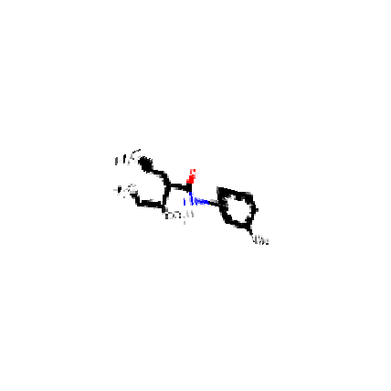 C=C/C=C(C(=O)Nc1cccc(NC)c1)\C(=C/C)C(=O)O